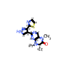 CC[C@H]1C(=O)N(C)c2cnc(-c3c[nH]nc3-c3nccs3)nc2N1C(C)C